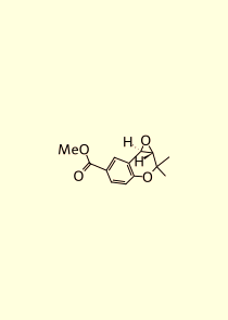 COC(=O)c1ccc2c(c1)[C@H]1O[C@@H]1C(C)(C)O2